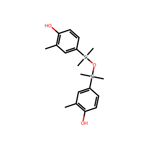 Cc1cc([Si](C)(C)O[Si](C)(C)c2ccc(O)c(C)c2)ccc1O